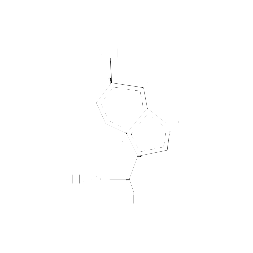 CCC(C(=O)O)c1csc2cc(O)ccc12